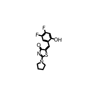 O=C1N=C(N2CCCC2)SC1=Cc1cc(F)c(F)cc1O